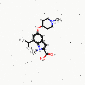 CC(C)c1cc(OC2CCN(C)CC2)cc2cc(C(=O)O)n(C)c12